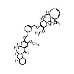 C=C1/C=C\C=C/CC[C@H]2CN[C@@H]3CC(OCC4=CCC[C@H](COC5=C(OC)C=C6C(=O)N7C8C=CCC[C@H]8C[C@H]7CN[C@H]6C5)C4)=C(OC)C[C@@H]3C(=O)N12